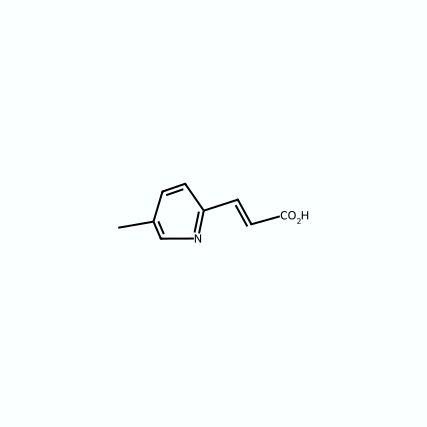 Cc1ccc(/C=C/C(=O)O)nc1